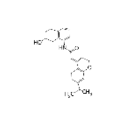 CC(C)c1ccc2c(c1)OCCC2=CC(=O)Nc1cccc2c1CC(O)CC2